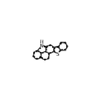 c1cc2ccc3c4sc5ccccc5c4cc4[nH]c(c1)c2c43